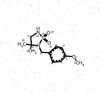 COc1ccc(CN2C(C)(C)CNS2(=O)=O)cc1